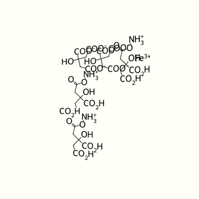 O=C([O-])CC(O)(CC(=O)[O-])C(=O)[O-].O=C([O-])CC(O)(CC(=O)[O-])C(=O)[O-].[Fe+3].[NH3+]OC(=O)CC(O)(CC(=O)O)C(=O)O.[NH3+]OC(=O)CC(O)(CC(=O)O)C(=O)O.[NH3+]OC(=O)CC(O)(CC(=O)O)C(=O)O